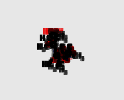 C#CCOc1cc(/C=C/c2cc3c(c(OC)c2)O[C@]2(C)C[C@@H](O)[C@@H](O)C(C)(C)C2C3)cc(OC(C(=O)OC)c2cc(OC)c(OC)cc2[N+](=O)[O-])c1CC=C(C)C